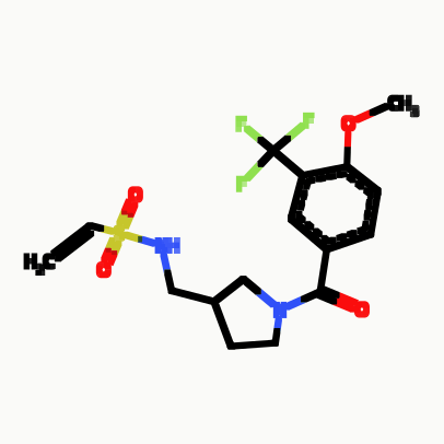 C=CS(=O)(=O)NCC1CCN(C(=O)c2ccc(OC)c(C(F)(F)F)c2)C1